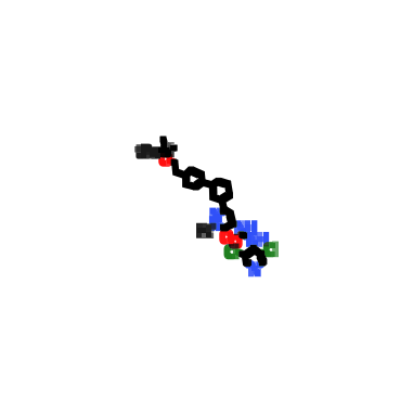 CCn1nc(-c2cccc(-c3ccc(CCO[Si](C)(C)C(C)(C)C)cc3)c2)cc(NC(=O)Nc2c(Cl)cncc2Cl)c1=O